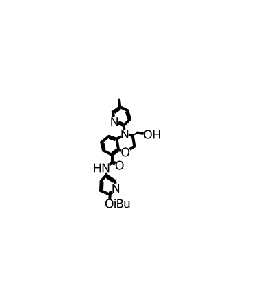 Cc1ccc(N2c3cccc(C(=O)Nc4ccc(OCC(C)C)nc4)c3OC[C@@H]2CO)nc1